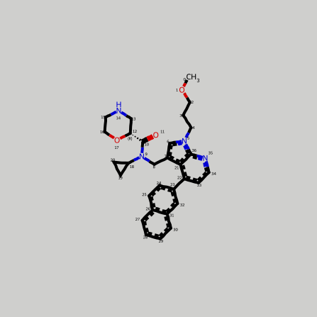 COCCCn1cc(CN(C(=O)[C@H]2CNCCO2)C2CC2)c2c(-c3ccc4ccccc4c3)ccnc21